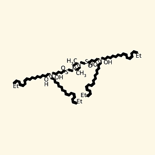 CC/C=C\C/C=C\C/C=C\CCCCCCC(O)CN(CCCCC(=O)SCCN1CC(C)N(CCSC(=O)CCCN(CC(O)CCCCCC/C=C\C/C=C\C/C=C\CC)CC(O)CCCCCC/C=C\C/C=C\C/C=C\CC)CC1C)CC(O)CCCCCC/C=C\C/C=C\C/C=C\CC